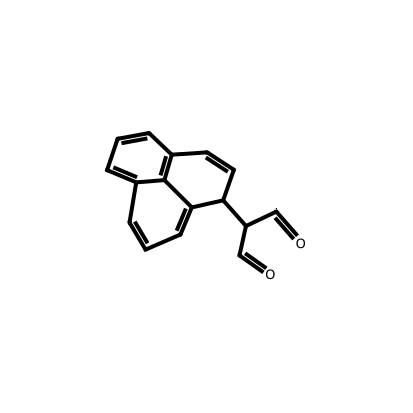 O=[C]C(C=O)C1C=Cc2cccc3cccc1c23